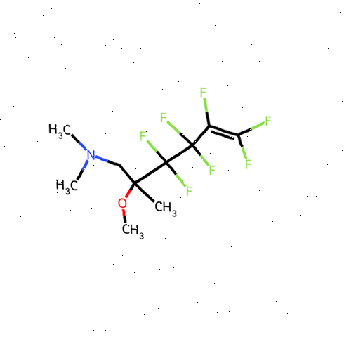 COC(C)(CN(C)C)C(F)(F)C(F)(F)C(F)=C(F)F